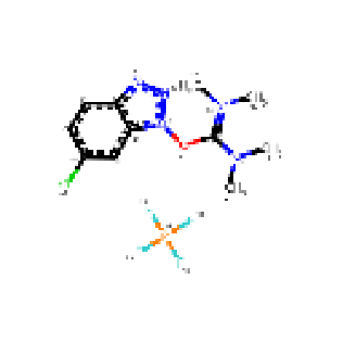 CN(C)C(On1nnc2ccc(Cl)cc21)=[N+](C)C.F[P-](F)(F)F